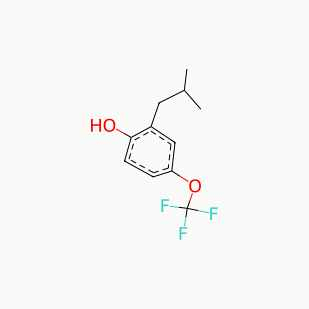 CC(C)Cc1cc(OC(F)(F)F)ccc1O